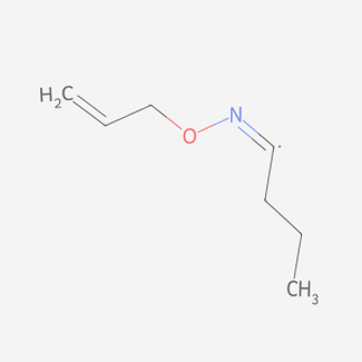 C=CCO/N=[C]\CCC